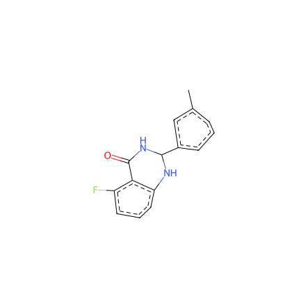 Cc1cccc(C2NC(=O)c3c(F)cccc3N2)c1